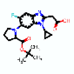 CC(C)(C)OC(=O)C1CCCN1c1cc2c(cc1F)nc(CC(=O)O)n2C1CC1